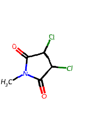 CN1C(=O)C(Cl)C(Cl)C1=O